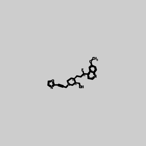 COc1ccc2nccc([C@H](F)CC[C@@H]3CCN(CC#Cc4ncco4)C[C@@H]3CO)c2c1